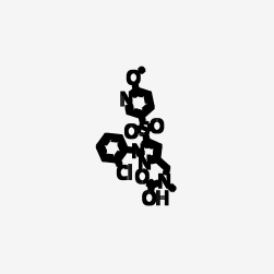 COc1ccc(S(=O)(=O)c2cc(CN(C)C(=O)O)nn2-c2ccccc2Cl)cn1